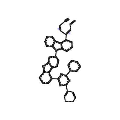 C#C/C=C\C(=C/C=C)c1cccc2c1c1ccccc1n2-c1ccc2c(c1)oc1cccc(-c3nc(C4=CCCC=C4)nc(-c4ccccc4)n3)c12